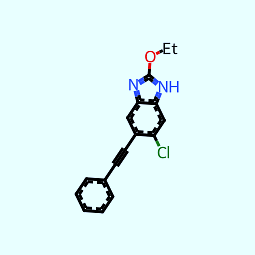 CCOc1nc2cc(C#Cc3ccccc3)c(Cl)cc2[nH]1